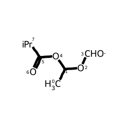 CC(O[C]=O)OC(=O)C(C)C